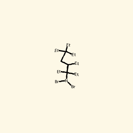 CCC(CC(CC)(CC)CC)C(CC)(CC)N(Br)Br